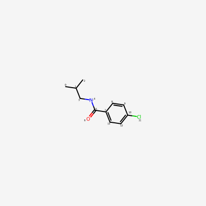 CC(C)C[N]C(=O)c1ccc(Cl)cc1